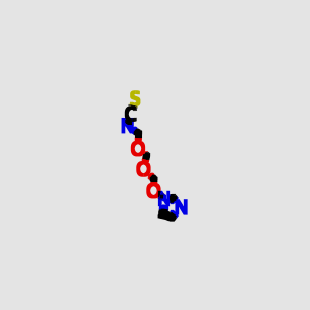 S=C=NCOCOCOn1ccnc1